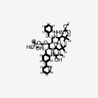 COC(=O)N[C@H](C(=O)N[C@@H](Cc1ccccc1)C[C@H](OCOP(=O)(O)O)[C@H](Cc1ccc(-c2ccccn2)cc1)NC(=O)[C@@H](N(C)C(=O)O)C(C)(C)C)C(C)(C)C